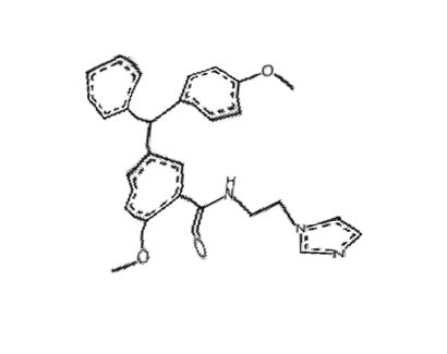 COc1ccc([C](c2ccccc2)c2ccc(OC)c(C(=O)NCCn3ccnc3)c2)cc1